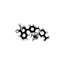 CC(C)C1CCN(Cc2ccc(-c3cn(C)c(=O)c4ccccc34)cc2OC(F)(F)F)CC1